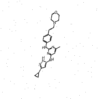 Cc1cc(Nc2cc(C3CC3)n[nH]2)nc(Nc2ccc(CCN3CCOCC3)cc2)n1